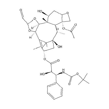 CC(=O)O[C@@]12COC1C[C@H](O)[C@@]1(C)[C@@H]3OC(C=O)O[C@@H]3C3=C(C)[C@@H](OC(=O)[C@H](O)[C@@H](NC(=O)OC(C)(C)C)c4ccccc4)C[C@@](O)([C@@H](C)[C@@H]12)C3(C)C